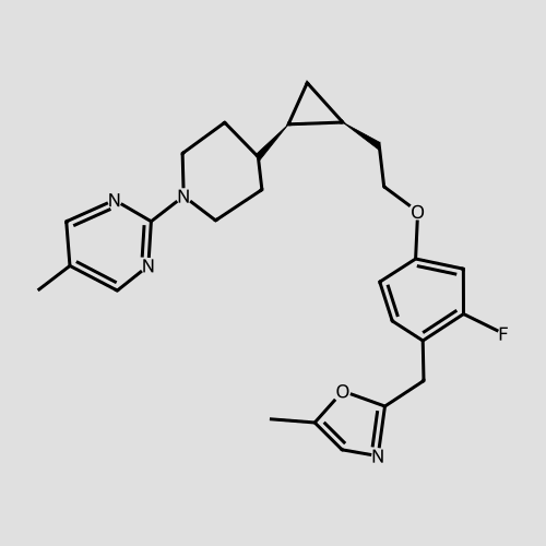 Cc1cnc(N2CCC([C@H]3C[C@H]3CCOc3ccc(Cc4ncc(C)o4)c(F)c3)CC2)nc1